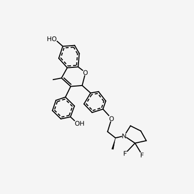 CC1=C(c2cccc(O)c2)C(c2ccc(OC[C@H](C)N3CCCC3(F)F)cc2)Oc2ccc(O)cc21